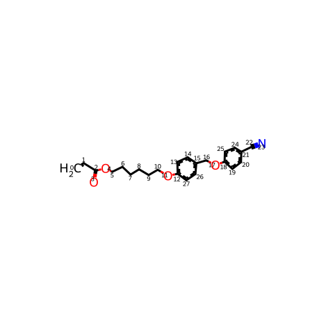 C=CC(=O)OCCCCCCOc1ccc(COc2ccc(C#N)cc2)cc1